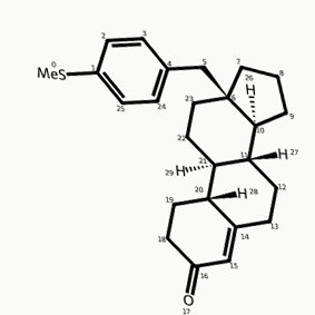 CSc1ccc(C[C@@]23CCC[C@H]2[C@@H]2CCC4=CC(=O)CC[C@@H]4[C@H]2CC3)cc1